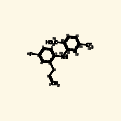 C=CCc1cc(F)ccc1Nc1nc(C(F)(F)F)ccc1C(=O)O